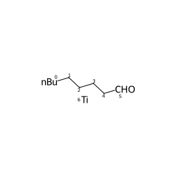 CCCCCCCCC=O.[Ti]